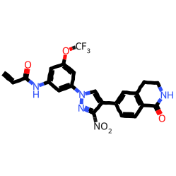 C=CC(=O)Nc1cc(OC(F)(F)F)cc(-n2cc(-c3ccc4c(c3)CCNC4=O)c([N+](=O)[O-])n2)c1